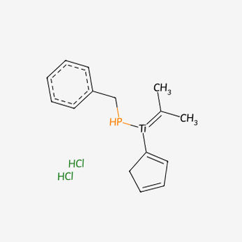 C[C](C)=[Ti]([PH]Cc1ccccc1)[C]1=CC=CC1.Cl.Cl